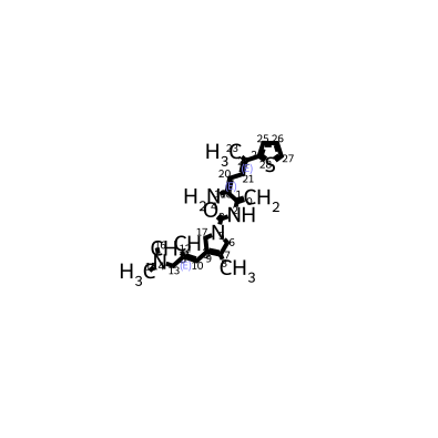 C=C(NC(=O)N1CC(C)=C(/C=C(\C)CN(C)C)C1)/C(N)=C\C=C(/C)c1cccs1